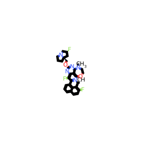 C#Cc1c(F)ccc2cccc(-c3nc4c5c(nc(OC[C@@]67CCCN6C[C@H](F)C7)nc5c3F)N(C)CCO4)c12